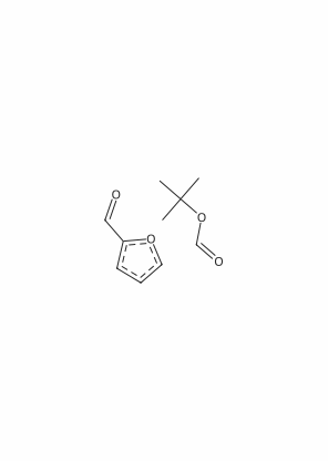 CC(C)(C)OC=O.O=Cc1ccco1